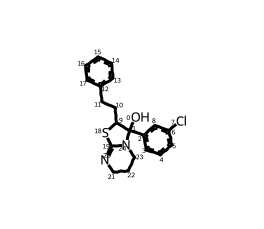 OC1(c2cccc(Cl)c2)C(CCc2ccccc2)SC2=NCCCN21